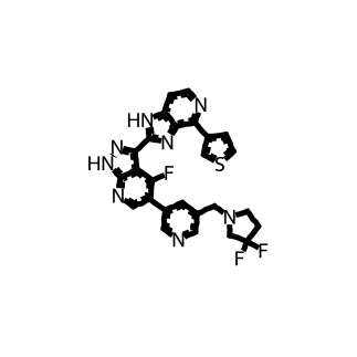 Fc1c(-c2cncc(CN3CCC(F)(F)C3)c2)cnc2[nH]nc(-c3nc4c(-c5ccsc5)nccc4[nH]3)c12